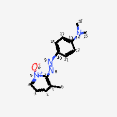 Cc1ccc[n+]([O-])c1N=Nc1ccc(N(C)C)cc1